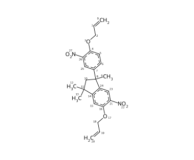 C=CCOc1ccc(C2(C)CC(C)(C)c3cc(OCC=C)c([N+](=O)[O-])cc32)cc1[N+](=O)[O-]